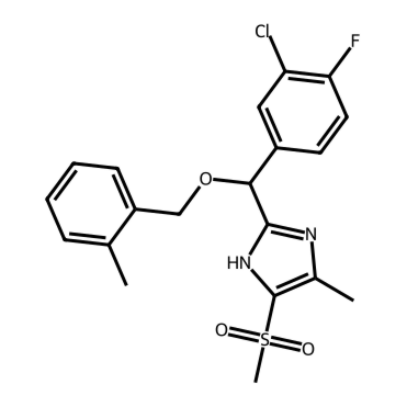 Cc1ccccc1COC(c1ccc(F)c(Cl)c1)c1nc(C)c(S(C)(=O)=O)[nH]1